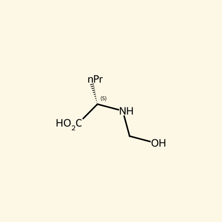 CCC[C@H](NCO)C(=O)O